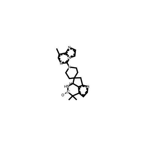 Cc1cnc(N2CCC3(CC2)Cc2nccc4c2[C@H]3N[S@+]([O-])C4(C)C)n2ccnc12